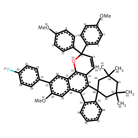 COc1ccc(C2(c3ccc(OC)cc3)C=Cc3c4c(c5cc(OC)c(-c6ccc(F)cc6)cc5c3O2)-c2ccccc2C42CC(C)(C)CC(C)(C)C2)cc1